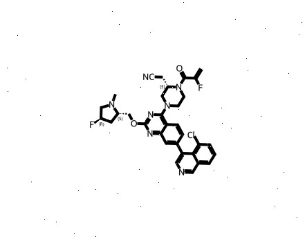 C=C(F)C(=O)N1CCN(c2nc(OC[C@@H]3C[C@@H](F)CN3C)nc3cc(-c4cncc5cccc(Cl)c45)ccc23)C[C@@H]1CC#N